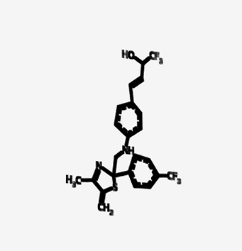 C=C1SC(CNc2ccc(C=CC(O)C(F)(F)F)cc2)(c2ccc(C(F)(F)F)cc2)N=C1C